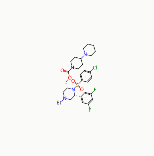 CCN1C[C@H](COC(=O)N2CCC(N3CCCCC3)CC2)N(S(=O)(=O)c2ccc(Cl)cc2)[C@H](c2cc(F)cc(F)c2)C1